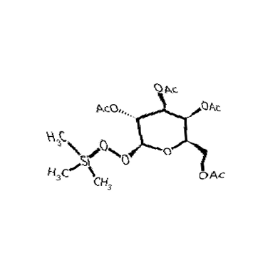 CC(=O)OC[C@H]1O[C@@H](OO[Si](C)(C)C)[C@H](OC(C)=O)[C@@H](OC(C)=O)[C@H]1OC(C)=O